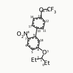 CCC(CC)Oc1ccc([N+](=O)[O-])c(-c2ccc(OC(F)(F)F)cc2)c1